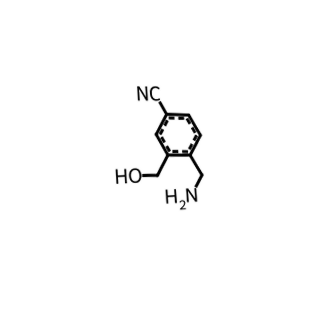 N#Cc1ccc(CN)c(CO)c1